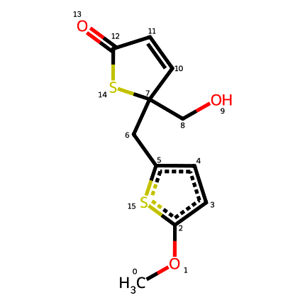 COc1ccc(CC2(CO)C=CC(=O)S2)s1